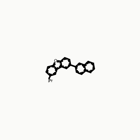 CC(C)c1ccc2oc3ccc(-c4ccc5ccccc5c4)cc3c2c1